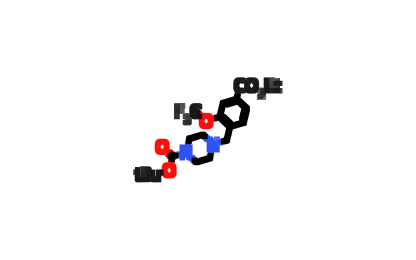 CCOC(=O)c1ccc(CN2CCN(C(=O)OC(C)(C)C)CC2)c(OC(F)(F)F)c1